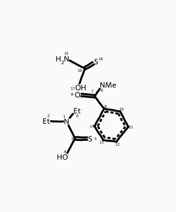 CCN(CC)C(O)=S.CNC(=O)c1ccccc1.NC(O)=S